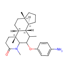 CC1C(Oc2ccc(N)cc2)C2N(C)C(=O)CC[C@]2(C)[C@@H]2CC[C@]3(C)CCC[C@H]3[C@H]12